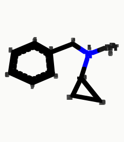 CCCN(Cc1ccccc1)[C]1CC1